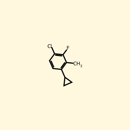 Cc1c(C2CC2)ccc(Cl)c1F